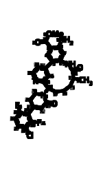 COC(=O)c1cc2c(cc1N)NC(=O)C(C)CCCC(N1CCC(c3c(F)ccc(Cl)c3F)=CC1=O)c1cc-2ccn1